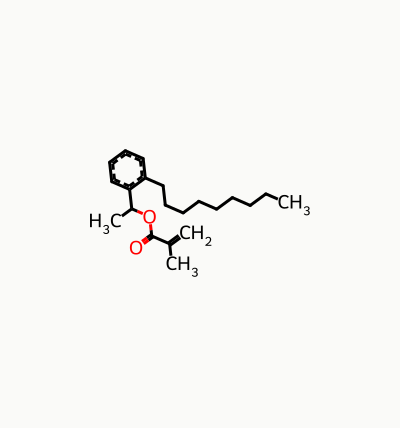 C=C(C)C(=O)OC(C)c1ccccc1CCCCCCCCC